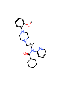 COc1ccccc1N1CCN(C[C@@H](C)N(C(=O)C2CCCCC2)c2ccccn2)CC1